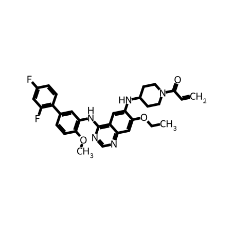 C=CC(=O)N1CCC(Nc2cc3c(Nc4cc(-c5ccc(F)cc5F)ccc4OC)ncnc3cc2OCC)CC1